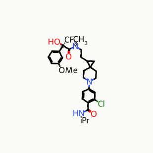 COc1cccc([C@@](O)(C(=O)N(C)CCC2CC23CCN(c2ccc(C(=O)NC(C)C)c(Cl)c2)CC3)C(F)(F)F)c1